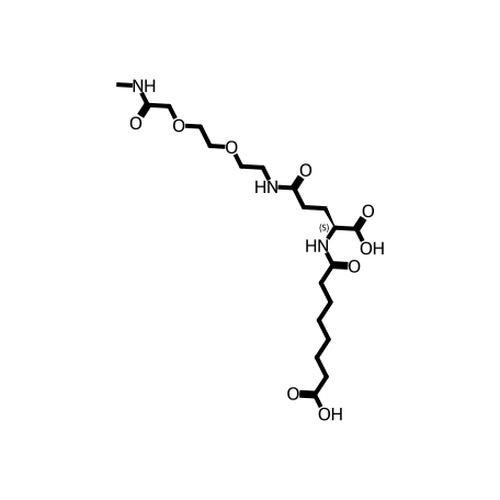 CNC(=O)COCCOCCNC(=O)CC[C@H](NC(=O)CCCCCCC(=O)O)C(=O)O